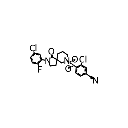 N#Cc1ccc(S(=O)(=O)N2CCCC3(CCN(c4cc(Cl)ccc4F)C3=O)C2)c(Cl)c1